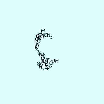 C=C1CCC(n2c(=O)oc3cc(N4CCN(CC5CC6(CCN(CC7(COc8nc(N9CCC[C@]%10(CCO%10)C9)c9cnc(-c%10cc(O)cc%11ccc(F)c(CC)c%10%11)c(F)c9n8)CC7)CC6)C5)CC4)ccc32)C(=O)N1